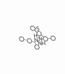 c1ccc(-c2ccc(C3NC(n4c5ccc(-c6ccccc6)cc5c5cc6sc7ccccc7c6cc54)Nc4ccccc43)cc2)cc1